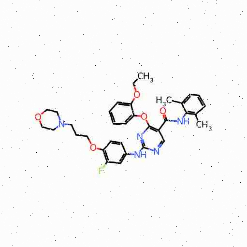 CCOc1ccccc1Oc1nc(Nc2ccc(OCCCN3CCOCC3)c(F)c2)ncc1C(=O)Nc1c(C)cccc1C